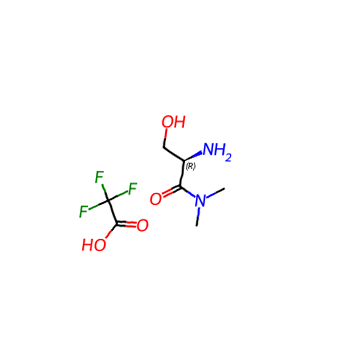 CN(C)C(=O)[C@H](N)CO.O=C(O)C(F)(F)F